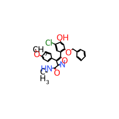 CCNC(=O)c1noc(-c2cc(Cl)c(O)cc2OCc2ccccc2)c1-c1ccc(OC)cc1